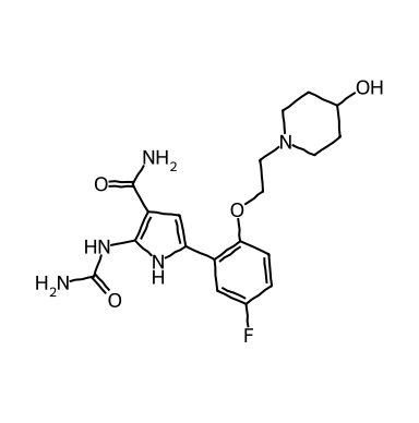 NC(=O)Nc1[nH]c(-c2cc(F)ccc2OCCN2CCC(O)CC2)cc1C(N)=O